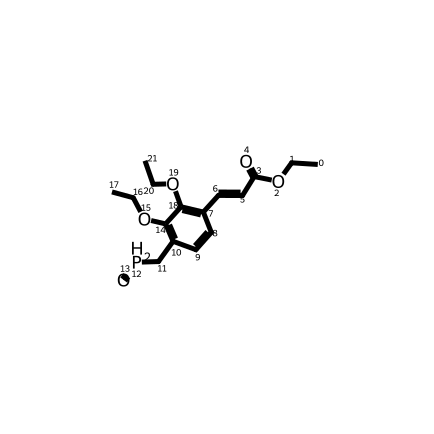 CCOC(=O)C=Cc1ccc(C[PH2]=O)c(OCC)c1OCC